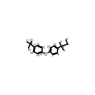 CCC(C)(C)c1ccc(Sc2ccc(C(C)(C)C)cc2)cc1